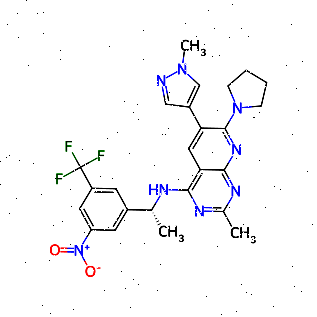 Cc1nc(N[C@H](C)c2cc([N+](=O)[O-])cc(C(F)(F)F)c2)c2cc(-c3cnn(C)c3)c(N3CCCC3)nc2n1